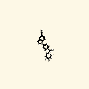 N#Cc1ccc2c(c1)CCN2c1ccc(C(=O)N2CCC(F)(F)CC2)cc1